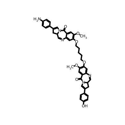 COc1cc2c(cc1OCCCCCOc1cc3c(cc1OC)C(=O)N1C=C(c4ccc(O)cc4)CC1C=N3)N=CC1CC(c3ccc(N)cc3)=CN1C2=O